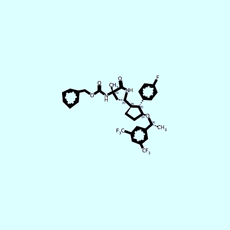 C[C@@H](O[C@H]1CC[C@@H]([C@@H]2C[C@](C)(NC(=O)OCc3ccccc3)C(=O)N2)[C@@H]1c1ccc(F)cc1)c1cc(C(F)(F)F)cc(C(F)(F)F)c1